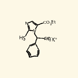 CCOC(=O)c1cnc(S)n1C(C)c1ccccc1.[K+].[OH-]